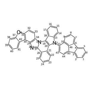 c1ccc2c(c1)-c1cccc3c(-n4c5ccccc5c5c4c4ccccc4c4nc6c7c(ccc6n45)oc4ccccc47)ccc-2c13